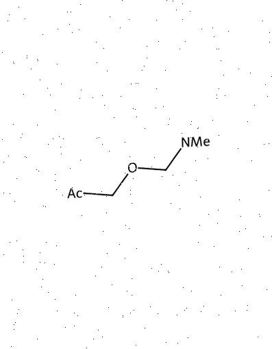 CNCOCC(C)=O